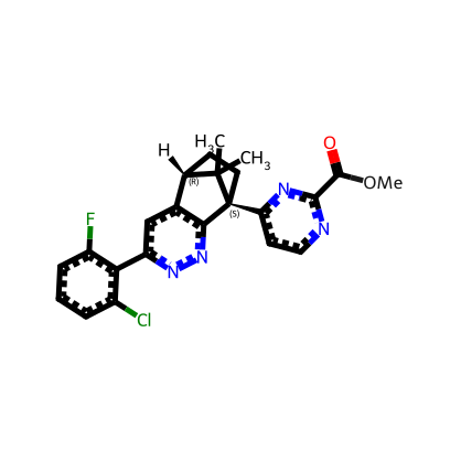 COC(=O)c1nccc([C@@]23CC[C@@H](c4cc(-c5c(F)cccc5Cl)nnc42)C3(C)C)n1